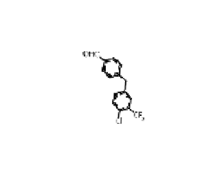 O=Cc1ccc(Cc2ccc(Cl)c(C(F)(F)F)c2)cc1